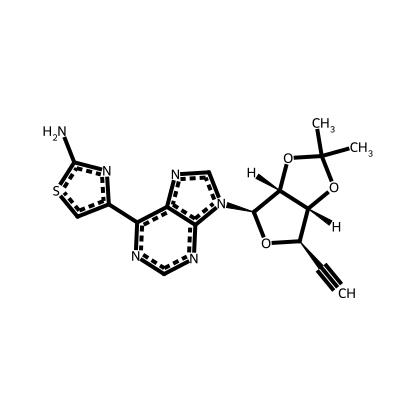 C#C[C@H]1O[C@@H](n2cnc3c(-c4csc(N)n4)ncnc32)[C@@H]2OC(C)(C)O[C@@H]21